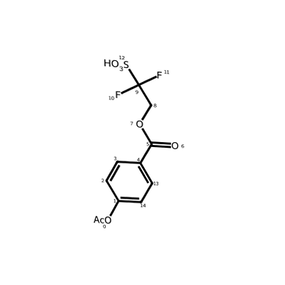 CC(=O)Oc1ccc(C(=O)OCC(F)(F)S(=O)(=O)O)cc1